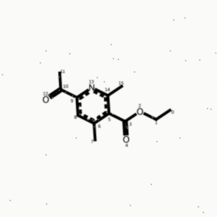 CCOC(=O)c1c(C)cc(C(C)=O)nc1C